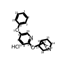 Cl.c1ccc(Oc2ccc(OC3CN4CCC3CC4)nc2)cc1